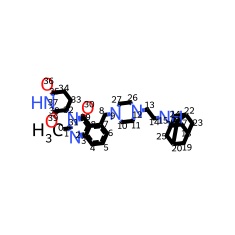 Cc1nc2cccc(CN3CCN(CCNC45CC6CC(CC(C6)C4)C5)CC3)c2c(=O)n1C1CCC(=O)NC1=O